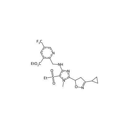 CCOC(=O)c1cc(C(F)(F)F)cnc1CNc1nc(C2CC(C3CC3)=NO2)n(C)c1S(=O)(=O)CC